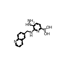 NNc1ccc(B(O)O)nc1NCc1ccc2ncccc2c1